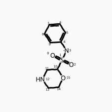 O=S(=O)([N]c1ccccc1)C1CNCCO1